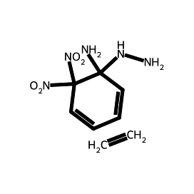 C=C.NNC1(N)C=CC=CC1([N+](=O)[O-])[N+](=O)[O-]